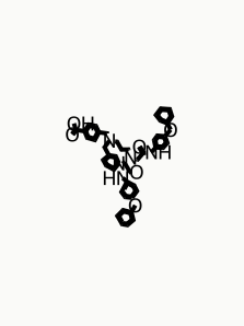 O=C(CN(CCCN(Cc1ccc(C(=O)O)cc1)Cc1cccnc1)CC(=O)Nc1ccc(Oc2ccccc2)cc1)Nc1ccc(Oc2ccccc2)cc1